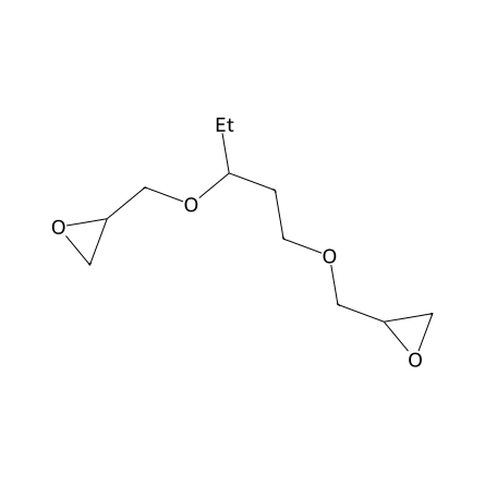 [CH2]CC(CCOCC1CO1)OCC1CO1